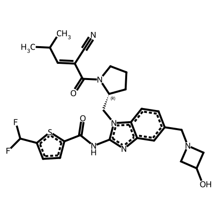 CC(C)C=C(C#N)C(=O)N1CCC[C@@H]1Cn1c(NC(=O)c2ccc(C(F)F)s2)nc2cc(CN3CC(O)C3)ccc21